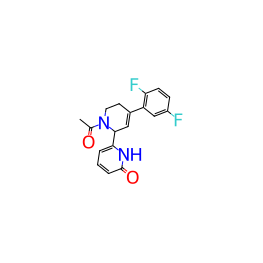 CC(=O)N1CCC(c2cc(F)ccc2F)=CC1c1cccc(=O)[nH]1